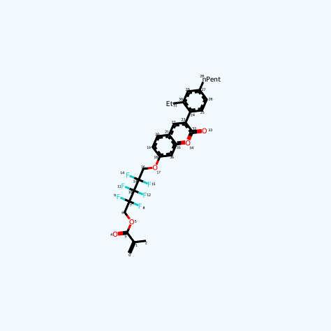 C=C(C)C(=O)OCC(F)(F)C(F)(F)C(F)(F)COc1ccc2cc(-c3ccc(CCCCC)cc3CC)c(=O)oc2c1